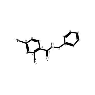 O=C(NCc1cc[c]cc1)c1ccc(F)cc1F